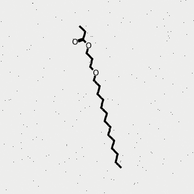 CCCCCCCCCCCCCCOCCCOC(=O)CC